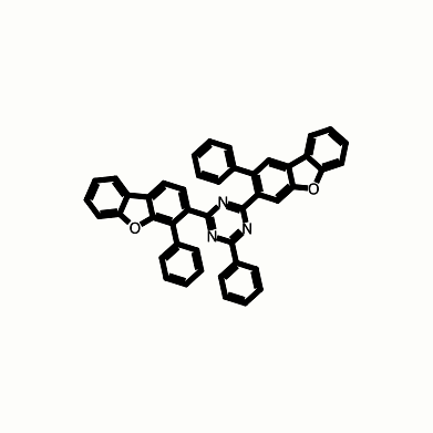 c1ccc(-c2nc(-c3cc4oc5ccccc5c4cc3-c3ccccc3)nc(-c3ccc4c(oc5ccccc54)c3-c3ccccc3)n2)cc1